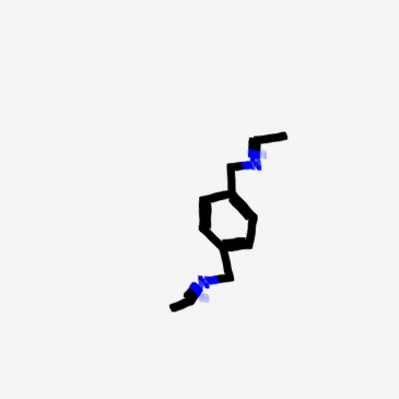 C/C=N/Cc1ccc(C/N=C/C)cc1